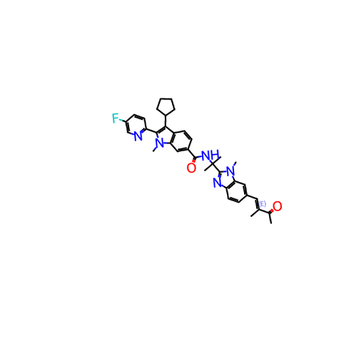 CC(=O)/C(C)=C/c1ccc2nc(C(C)(C)NC(=O)c3ccc4c(C5CCCC5)c(-c5ccc(F)cn5)n(C)c4c3)n(C)c2c1